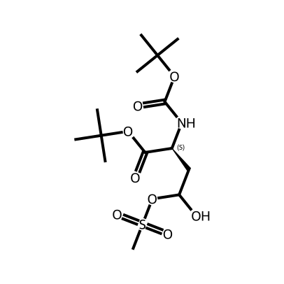 CC(C)(C)OC(=O)N[C@@H](CC(O)OS(C)(=O)=O)C(=O)OC(C)(C)C